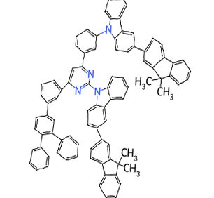 CC1(C)c2ccccc2-c2ccc(-c3ccc4c(c3)c3ccccc3n4-c3cccc(-c4cc(-c5cccc(-c6ccc(-c7ccccc7)c(-c7ccccc7)c6)c5)nc(-n5c6ccccc6c6cc(-c7ccc8c(c7)C(C)(C)c7ccccc7-8)ccc65)n4)c3)cc21